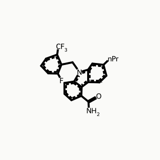 CCCc1c[c]c2c3c(C(N)=O)cccc3n(Cc3c(F)cccc3C(F)(F)F)c2c1